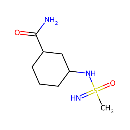 CS(=N)(=O)NC1CCCC(C(N)=O)C1